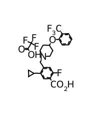 O=C(O)C(F)(F)F.O=C(O)c1cc(C2CC2)c(CN2CCC(Oc3ccccc3C(F)(F)F)CC2)cc1F